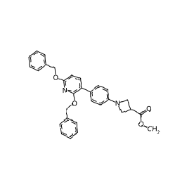 COC(=O)C1CN(c2ccc(-c3ccc(OCc4ccccc4)nc3OCc3ccccc3)cc2)C1